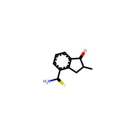 CC1Cc2c(cccc2C(N)=S)C1=O